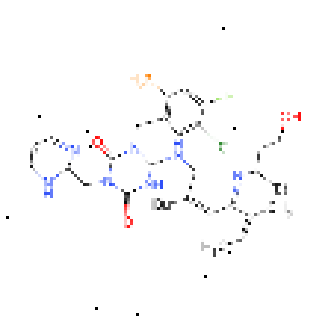 C/C=C(/C)C(/C=C(\CNC1NC(=O)N(CC2N=CC=CN2)C(=O)N1Cc1cc(Cl)c(F)cc1P)C(C)CC)=NC(CC)CCO